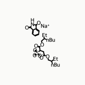 CCCCC(CC)COC(=O)CC(C(=O)OCC(CC)CCCC)S(=O)(=O)[O-].O=C1NC(=O)c2ccccc21.[Na+]